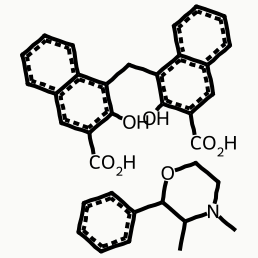 CC1C(c2ccccc2)OCCN1C.O=C(O)c1cc2ccccc2c(Cc2c(O)c(C(=O)O)cc3ccccc23)c1O